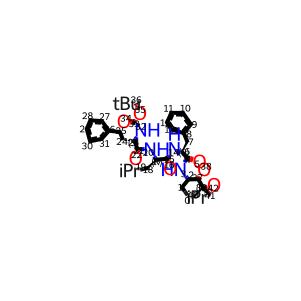 CC(C)CC(NC(=O)[C@H](Cc1ccccc1)NC(=O)[C@@H](CC(C)C)NC(=O)[C@H](CCc1ccccc1)NC(=O)OC(C)(C)C)C(=O)[C@@]1(C)CO1